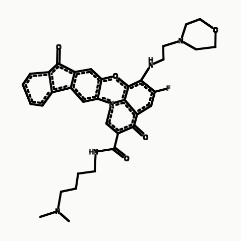 CN(C)CCCCNC(=O)c1cn2c3cc4c(cc3oc3c(NCCN5CCOCC5)c(F)cc(c1=O)c32)c(=O)c1ccccc14